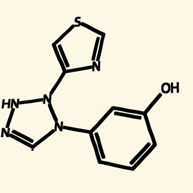 Oc1cccc(N2[C]=NNN2c2cscn2)c1